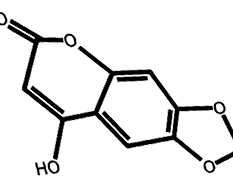 O=c1cc(O)c2cc3c(cc2o1)OCO3